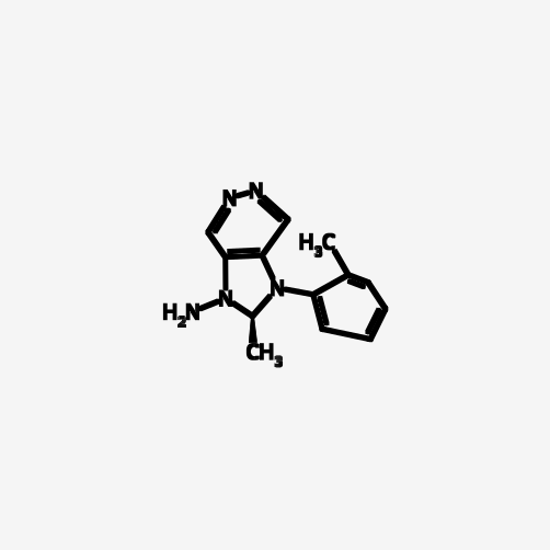 Cc1ccccc1N1c2cnncc2N(N)[C@@H]1C